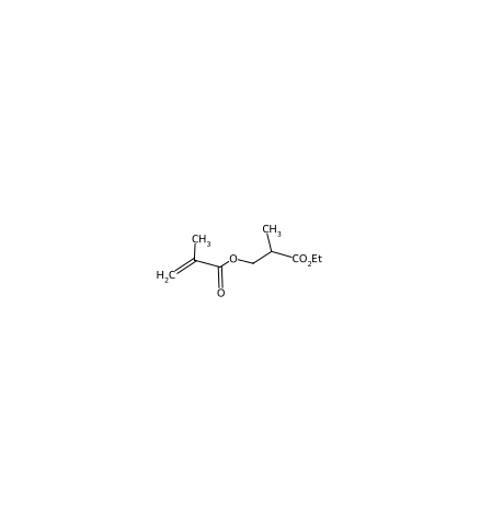 C=C(C)C(=O)OCC(C)C(=O)OCC